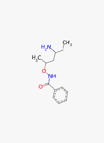 CCC(N)CC(C)ONC(=O)c1ccccc1